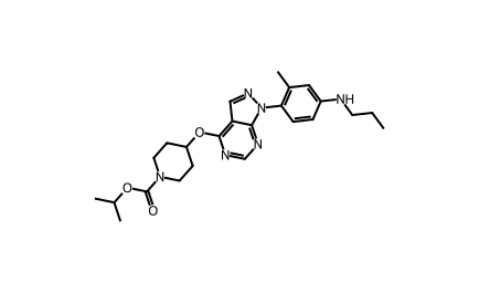 CCCNc1ccc(-n2ncc3c(OC4CCN(C(=O)OC(C)C)CC4)ncnc32)c(C)c1